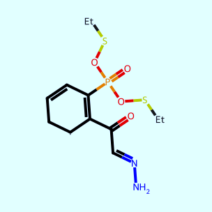 CCSOP(=O)(OSCC)C1=C(C(=O)C=NN)[CH]CC=C1